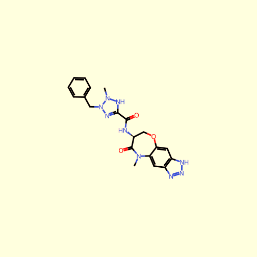 CN1C(=O)[C@@H](NC(=O)C2=NN(Cc3ccccc3)N(C)N2)COc2cc3[nH]nnc3cc21